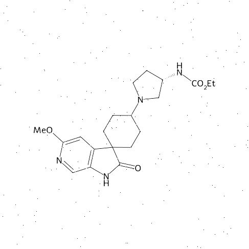 CCOC(=O)N[C@H]1CCN(C2CCC3(CC2)C(=O)Nc2cnc(OC)cc23)C1